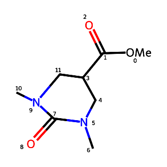 COC(=O)C1CN(C)C(=O)N(C)C1